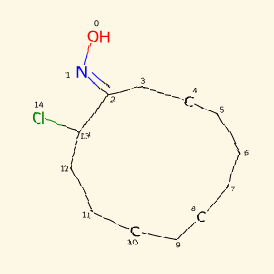 ON=C1CCCCCCCCCCC1Cl